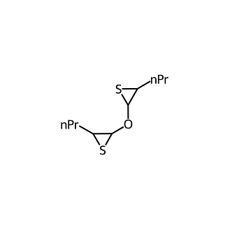 CCCC1SC1OC1SC1CCC